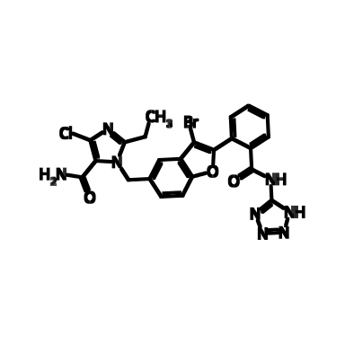 CCc1nc(Cl)c(C(N)=O)n1Cc1ccc2oc(-c3ccccc3C(=O)Nc3nnn[nH]3)c(Br)c2c1